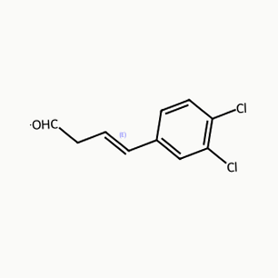 O=[C]C/C=C/c1ccc(Cl)c(Cl)c1